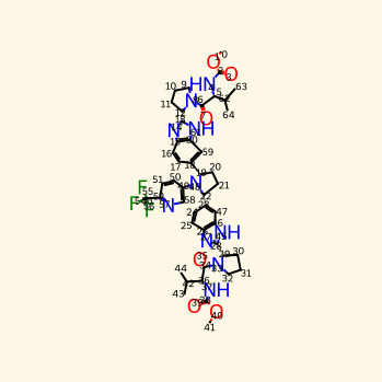 COC(=O)N[C@H](C(=O)N1CCC[C@H]1c1nc2ccc([C@H]3CC[C@H](c4ccc5nc([C@@H]6CCCN6C(=O)[C@@H](NC(=O)OC)C(C)C)[nH]c5c4)N3c3ccc(C(F)(F)F)nc3)cc2[nH]1)C(C)C